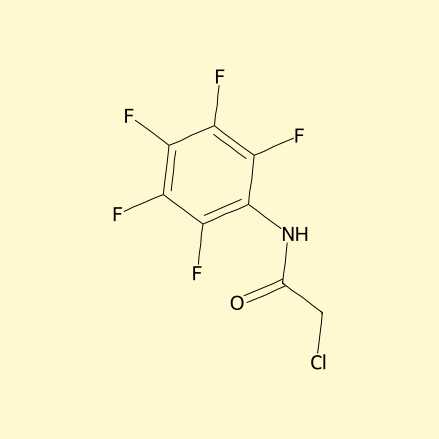 O=C(CCl)Nc1c(F)c(F)c(F)c(F)c1F